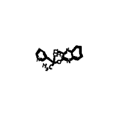 CC(C)(Oc1nc2ccccc2nc1Cl)c1cccnc1